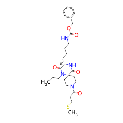 CCCN1C(=O)[C@H](CCCCNC(=O)OCc2ccccc2)NC(=O)C12CCN(C(=O)CCSC)CC2